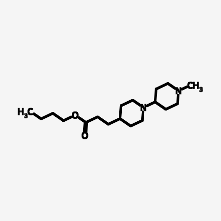 CCCCOC(=O)CCC1CCN(C2CCN(C)CC2)CC1